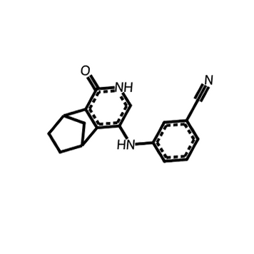 N#Cc1cccc(Nc2c[nH]c(=O)c3c2C2CCC3C2)c1